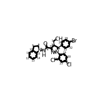 CC[C@@H]1C(C(=O)NN2CCc3ccccc32)=NN(c2ccc(Cl)cc2Cl)[C@@H]1c1ccc(Br)cc1